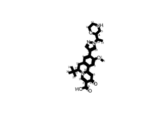 COc1cc2c(cc1-c1cnn(C(C)C3CNCCO3)c1)CC(C(C)(C)C)n1cc(C(=O)O)c(=O)cc1-2